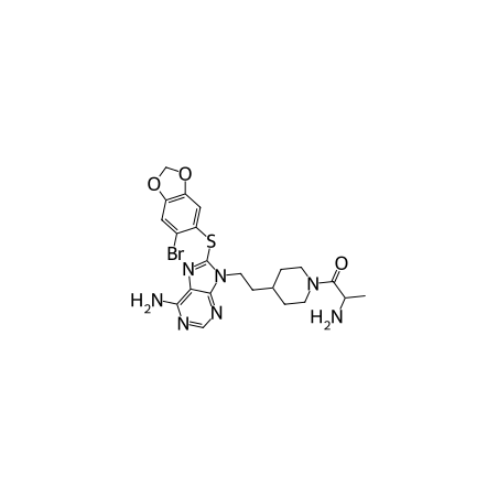 CC(N)C(=O)N1CCC(CCn2c(Sc3cc4c(cc3Br)OCO4)nc3c(N)ncnc32)CC1